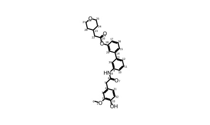 COc1cc(CC(=O)Nc2cccc(-c3cccc(OC(=O)CC4CCOCC4)c3)c2)ccc1O